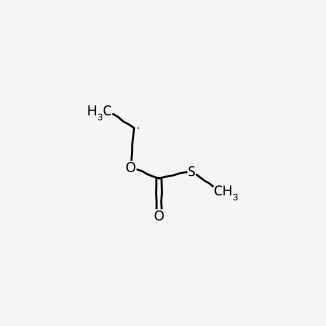 C[CH]OC(=O)SC